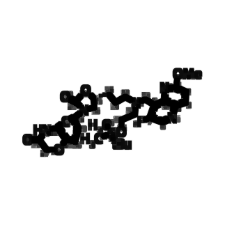 COc1ccc2ncc(F)c(CN(CCC[C@@H]3CN(c4ccc5c(c4)NC(=O)CO5)C(=O)O3)CCO[Si](C)(C)C(C)(C)C)c2n1